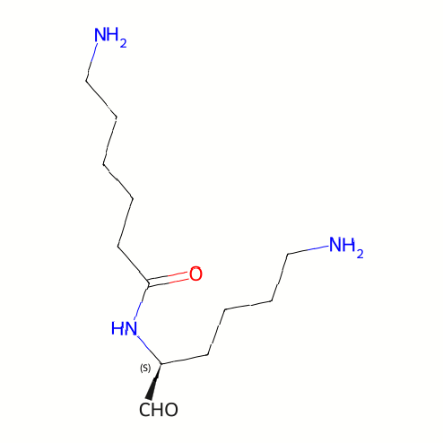 NCCCCCC(=O)N[C@H](C=O)CCCCN